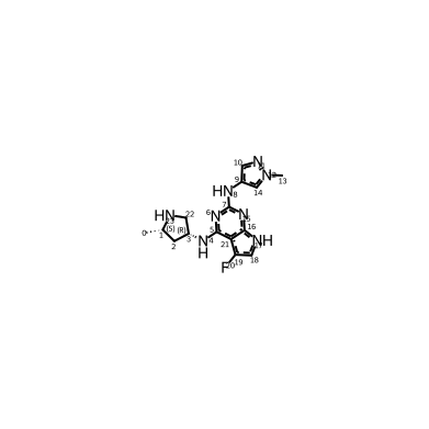 C[C@H]1C[C@@H](Nc2nc(Nc3cnn(C)c3)nc3[nH]cc(F)c23)CN1